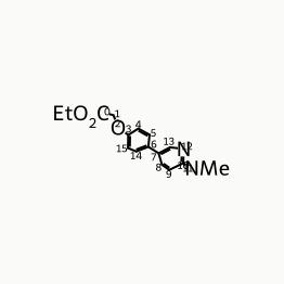 CCOC(=O)COc1ccc(-c2ccc(NC)nc2)cc1